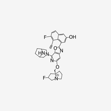 C#Cc1c(F)ccc2cc(O)cc(-c3nc4cc(OC[C@@]56CCCN5CC(F)C6)nc(N5CC6CCC(C5)N6)c4o3)c12